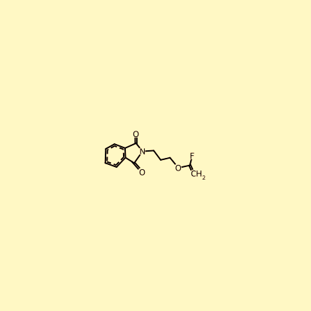 C=C(F)OCCCN1C(=O)c2ccccc2C1=O